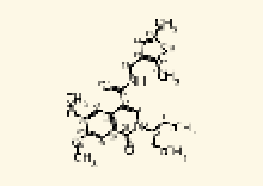 CCC(CC)n1cc(C(=O)NCc2cc(C)sc2C)c2cc(OC)c(OC)cc2c1=O